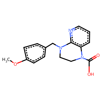 COc1ccc(CN2CCN(C(=O)O)c3cccnc32)cc1